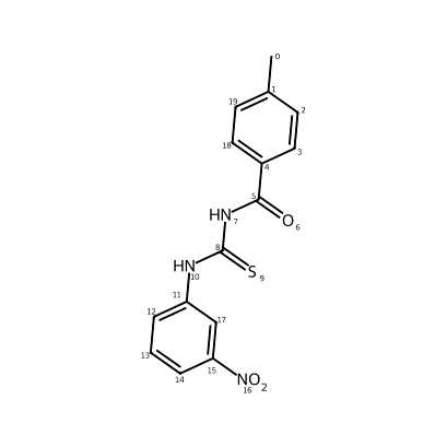 Cc1ccc(C(=O)NC(=S)Nc2cccc([N+](=O)[O-])c2)cc1